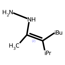 CCC(C)/C(=C(/C)NN)C(C)C